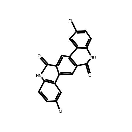 O=c1[nH]c2ccc(Cl)cc2c2cc3c(=O)[nH]c4ccc(Cl)cc4c3cc12